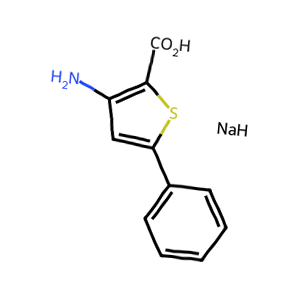 Nc1cc(-c2ccccc2)sc1C(=O)O.[NaH]